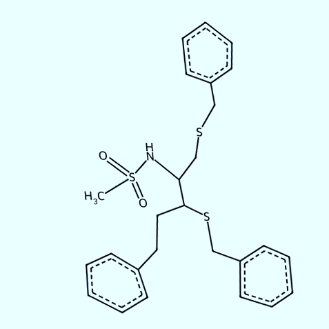 CS(=O)(=O)NC(CSCc1ccccc1)C(CCc1ccccc1)SCc1ccccc1